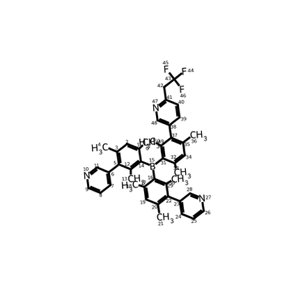 Cc1cc(C)c(-c2cccnc2)c(C)c1B(c1c(C)cc(C)c(-c2cccnc2)c1C)c1c(C)cc(C)c(-c2ccc(CC(F)(F)F)nc2)c1C